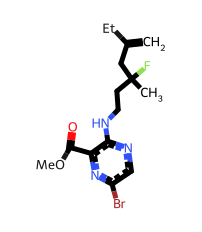 C=C(CC)CC(C)(F)CCNc1ncc(Br)nc1C(=O)OC